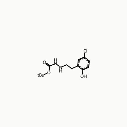 CC(C)(C)OC(=O)NNCCc1cc(Cl)ccc1O